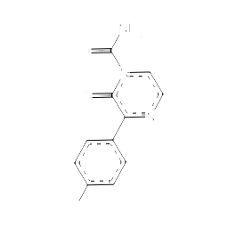 NC(=O)n1ccnc(-c2ccc(F)cc2)c1=O